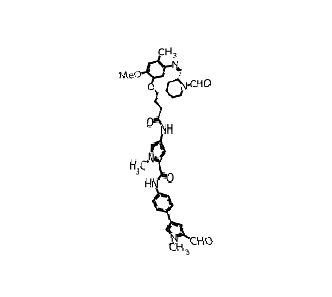 COC1=CC(C)=C(/N=C\[C@H]2CCCCN2C=O)CC1OCCCC(=O)Nc1cc(C(=O)Nc2ccc(-c3cc(C=O)n(C)c3)cc2)n(C)c1